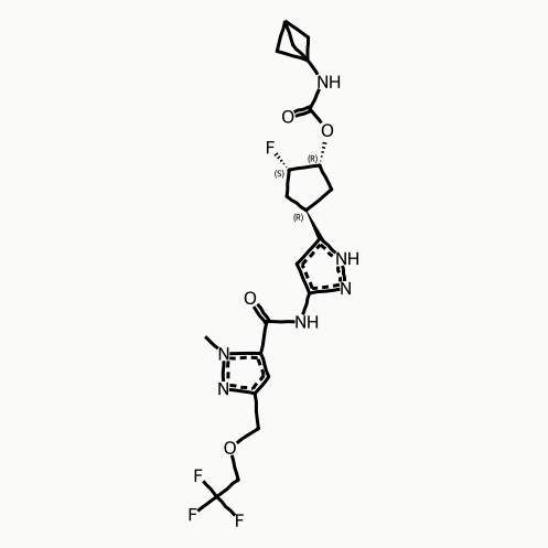 Cn1nc(COCC(F)(F)F)cc1C(=O)Nc1cc([C@H]2C[C@H](F)[C@H](OC(=O)NC34CC(C3)C4)C2)[nH]n1